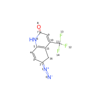 [N-]=[N+]=C1C=Cc2[nH]c(=O)cc(C(F)(F)F)c2C1